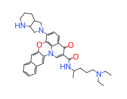 CCN(CC)CCCC(C)NC(=O)c1cn2c3c(c(N4CC5CCCNC5C4)ccc3c1=O)Oc1cc3ccccc3cc1-2